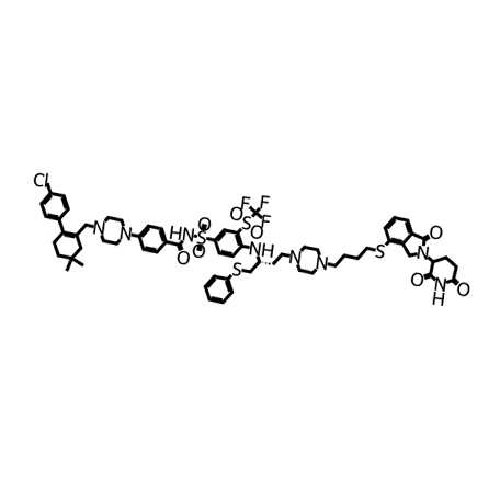 CC1(C)CCC(c2ccc(Cl)cc2)=C(CN2CCN(c3ccc(C(=O)NS(=O)(=O)c4ccc(N[C@H](CCN5CCN(CCCCSc6cccc7c6CN(C6CCC(=O)NC6=O)C7=O)CC5)CSc5ccccc5)c(S(=O)(=O)C(F)(F)F)c4)cc3)CC2)C1